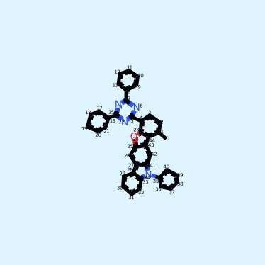 Cc1ccc(-c2nc(-c3ccccc3)nc(-c3ccccc3)n2)c2oc3cc4c5ccccc5n(-c5ccccc5)c4cc3c12